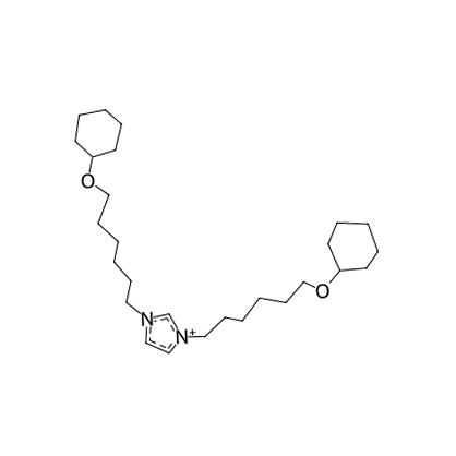 c1c[n+](CCCCCCOC2CCCCC2)cn1CCCCCCOC1CCCCC1